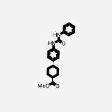 COC(=O)[C@H]1CC[C@H](c2ccc(NC(=O)Nc3ccccc3)cc2)CC1